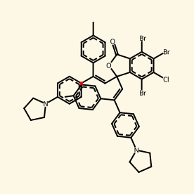 Cc1ccc(/C(=C\C2(/C=C(\c3ccc(C)cc3)c3ccc(N4CCCC4)cc3)OC(=O)c3c(Br)c(Br)c(Cl)c(Br)c32)c2ccc(N3CCCC3)cc2)cc1